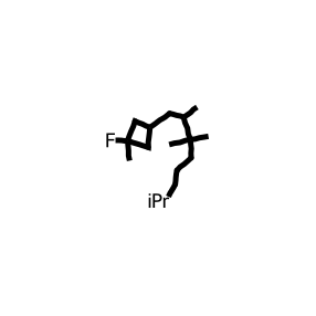 CC(C)CCCC(C)(C)C(C)CC1CC(C)(F)C1